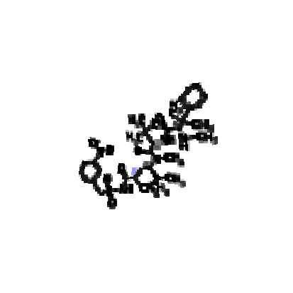 CN[C@H](C(=O)N[C@H](C(=O)N(C)[C@H](/C=C(\C)C(=O)NS(=O)(=O)Cc1cccc([N+](=O)[O-])c1)C(C)C)C(C)(C)C)C(C)(C)c1ccccc1